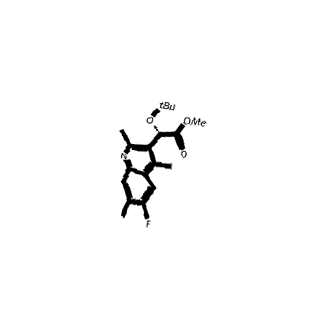 COC(=O)[C@@H](OC(C)(C)C)c1c(C)nc2cc(C)c(F)cc2c1I